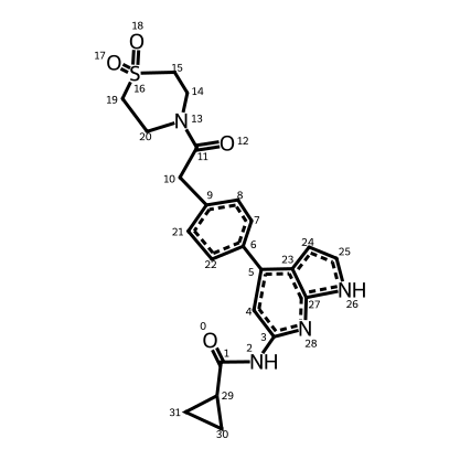 O=C(Nc1cc(-c2ccc(CC(=O)N3CCS(=O)(=O)CC3)cc2)c2cc[nH]c2n1)C1CC1